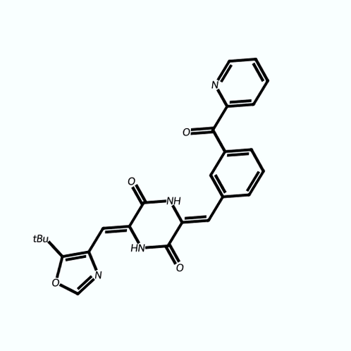 CC(C)(C)c1ocnc1/C=c1\[nH]c(=O)/c(=C/c2cccc(C(=O)c3ccccn3)c2)[nH]c1=O